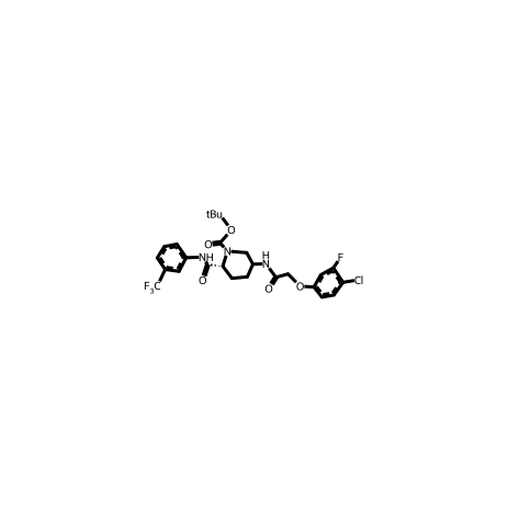 CC(C)(C)OC(=O)N1CC(NC(=O)COc2ccc(Cl)c(F)c2)CC[C@@H]1C(=O)Nc1cccc(C(F)(F)F)c1